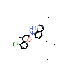 CC(CC(=O)Nc1cccc2cccnc12)c1ccccc1Cl